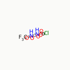 O=C1C[C@H](C(=O)N[C@H]2CC[C@H](C(=O)N[C@H]3C[C@@H](OC(F)(F)F)C3)CC2)Oc2ccc(Cl)cc21